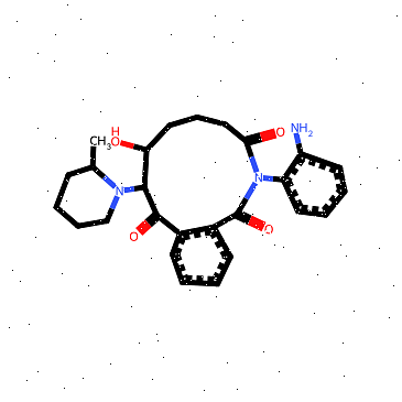 CC1CCCCN1C1C(=O)c2ccccc2C(=O)N(c2ccccc2N)C(=O)CCCC1O